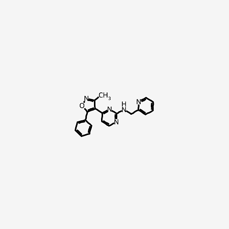 Cc1noc(-c2ccccc2)c1-c1ccnc(NCc2ccccn2)n1